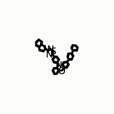 c1ccc(-c2ccc(-c3ccc4c(c3)N(c3ccc(-c5nc(-c6ccc7ccccc7c6)ns5)cc3)c3ccccc3O4)cc2)cc1